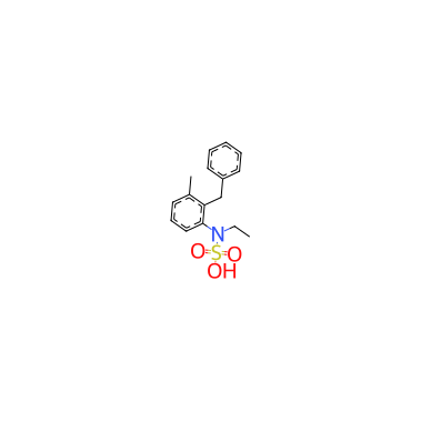 CCN(c1cccc(C)c1Cc1ccccc1)S(=O)(=O)O